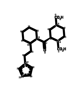 O=C(O)N1CCN(C(=O)O)[C@@H](C(=O)N2CCCCC2CCn2ccnc2)C1